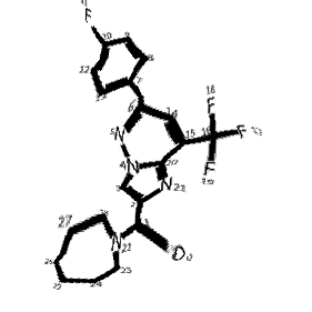 O=C(c1cn2nc(-c3ccc(F)cc3)cc(C(F)(F)F)c2n1)N1CCCCCC1